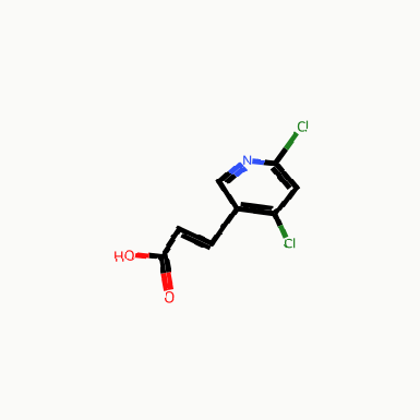 O=C(O)C=Cc1cnc(Cl)cc1Cl